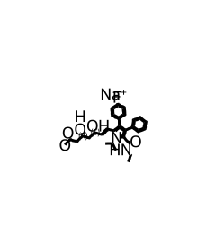 CCNC(=O)c1c(-c2ccccc2)c(-c2ccc(F)cc2)c(C=C[C@@H](O)C[C@@H](O)CC(=O)[O-])n1C(C)C.[Na+]